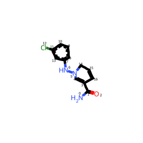 NC(=O)C1=CN(Nc2cccc(Cl)c2)CC=C1